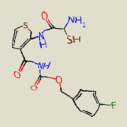 NC(S)C(=O)Nc1sccc1C(=O)NC(=O)OCc1ccc(F)cc1